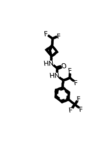 O=C(NC(c1cccc(C(F)(F)F)c1)C(F)F)NC12CC(C(F)F)(C1)C2